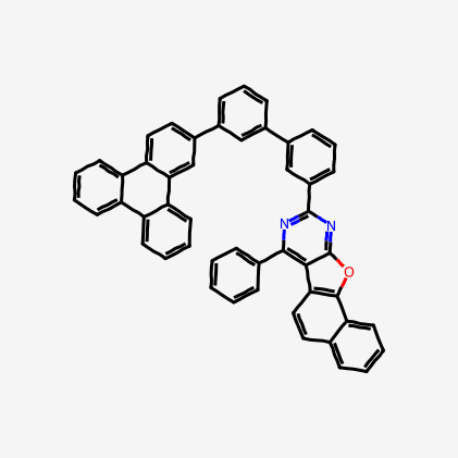 c1ccc(-c2nc(-c3cccc(-c4cccc(-c5ccc6c7ccccc7c7ccccc7c6c5)c4)c3)nc3oc4c5ccccc5ccc4c23)cc1